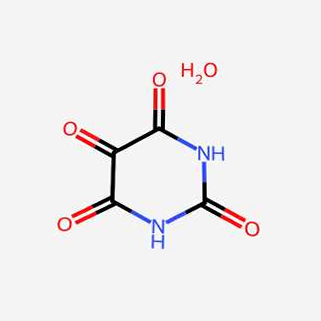 O.O=C1NC(=O)C(=O)C(=O)N1